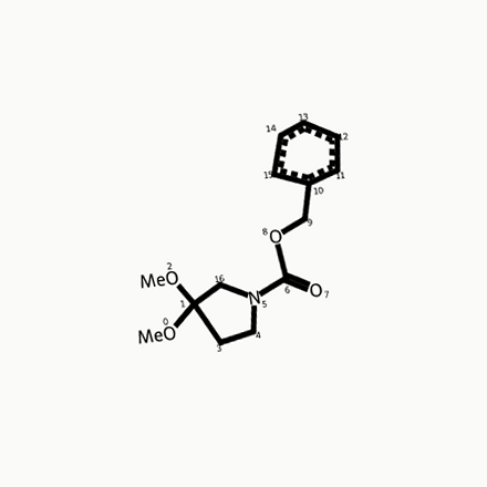 COC1(OC)CCN(C(=O)OCc2ccccc2)C1